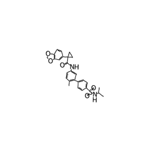 Cc1ccc(NC(=O)C2(c3ccc4c(c3)OCO4)CC2)cc1-c1ccc(S(=O)(=O)NC(C)C)cc1